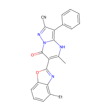 CCc1cccc2oc(-c3c(C)[nH]c4c(-c5ccccc5)c(C#N)nn4c3=O)nc12